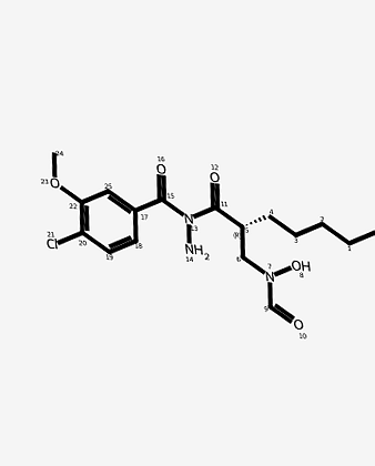 CCCCC[C@H](CN(O)C=O)C(=O)N(N)C(=O)c1ccc(Cl)c(OC)c1